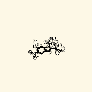 Cc1cc2c(cc1[N+](=O)[O-])cc(C1(C)CO1)n2S(C)(=O)=O